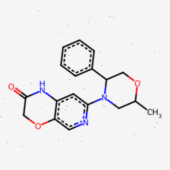 CC1CN(c2cc3c(cn2)OCC(=O)N3)C(c2ccccc2)CO1